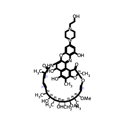 CO[C@H]1/C=C/O[C@@]2(C)Oc3c(C)c(O)c4c(c3C2=O)C2=Nc3c(O)cc(N5CCN(CCO)CC5)cc3OC2=C(NC(=O)/C(C)=C\C=C\[C@H](C)[C@H](O)[C@@H](C)[C@@H](O)[C@@H](C)[C@H](OC(C)=O)[C@@H]1C)C4O